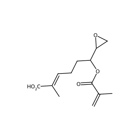 C=C(C)C(=O)OC(CCC=C(C)C(=O)O)C1CO1